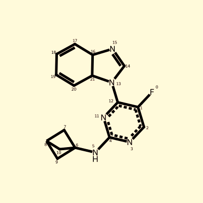 Fc1cnc(NC23CC(C2)C3)nc1N1C=NC2C=CC=CC21